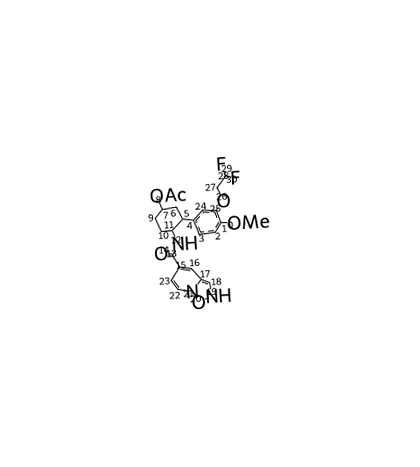 COc1ccc(C2CC(OC(C)=O)CCC2NC(=O)C2=CC3=CNON3C=C2)cc1OCC(F)F